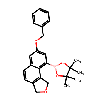 CC1(C)OB(c2cc(OCc3ccccc3)cc3ccc4c(c23)COC4)OC1(C)C